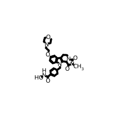 CN1C(=O)C2c3c(c4cc(OCCN5CCOCC5)ccc4n3CC3C=CC(C(=O)NO)=CC3)CCN2C1=O